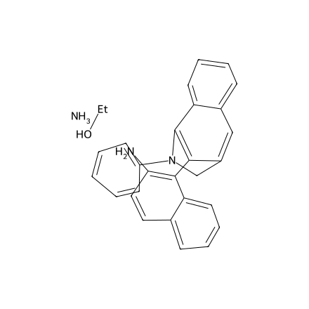 CCO.N.Nc1ccc2ccccc2c1-c1c2cc3ccccc3c1N(c1ccccc1)C2